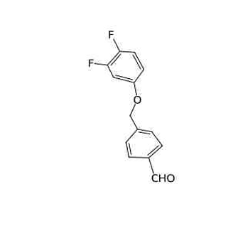 O=Cc1ccc(COc2ccc(F)c(F)c2)cc1